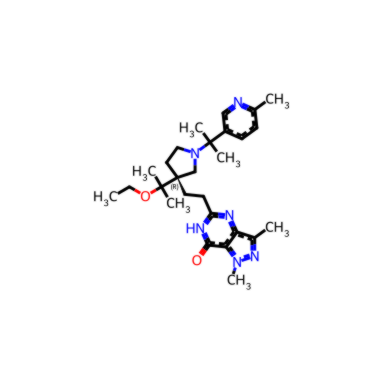 CCOC(C)(C)[C@]1(CCc2nc3c(C)nn(C)c3c(=O)[nH]2)CCN(C(C)(C)c2ccc(C)nc2)C1